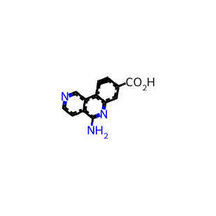 Nc1nc2cc(C(=O)O)c#cc2c2cnccc12